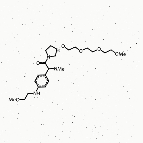 CNC(C(=O)N1CC[C@H](OCCOCCOCCOC)C1)c1ccc(NCCOC)cc1